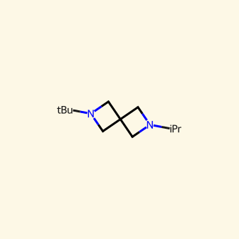 CC(C)N1CC2(C1)CN(C(C)(C)C)C2